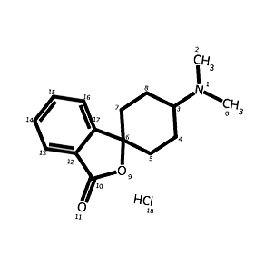 CN(C)C1CCC2(CC1)OC(=O)c1ccccc12.Cl